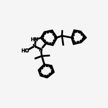 CC(C)(c1ccccc1)c1ccc2c(c1)N(C(C)(C)c1ccccc1)N(O)N2